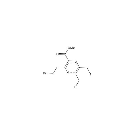 COC(=O)c1cc(CF)c(CF)cc1CCBr